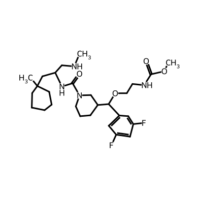 CNCC(CC1(C)CCCCC1)NC(=O)N1CCCC(C(OCCNC(=O)OC)c2cc(F)cc(F)c2)C1